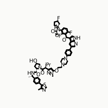 Cc1ncsc1-c1ccc([C@H](C)NC(=O)[C@@H]2C[C@@H](O)CN2C(=O)[C@H](c2cc(OCCN3CCN(c4ccc(-c5cnc6[nH]cc(C(=O)c7c(F)ccc(N(N8CC[C@@H](F)C8)[SH](=O)=O)c7F)c6c5)cc4)CC3)n(C)n2)C(C)C)cc1